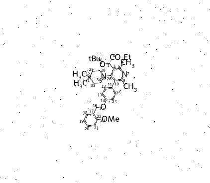 CCOC(=O)[C@@H](OC(C)(C)C)c1c(C)nc(C)c(-c2ccc(OCc3ccccc3OC)cc2)c1N1CCC(C)(C)CC1